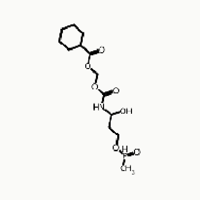 C[PH](=O)OCCC(O)NC(=O)OCOC(=O)C1CCCCC1